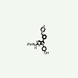 CCC[C@H](C)Nc1ncc2c(-c3cccc(CN4CCN(C)CC4)c3)cn(C3CCC(O)CC3)c2n1